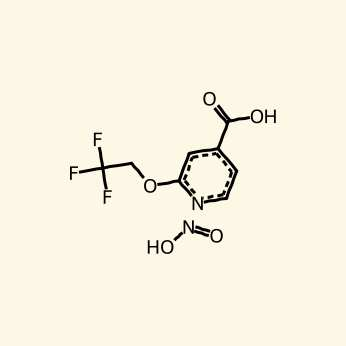 O=C(O)c1ccnc(OCC(F)(F)F)c1.O=NO